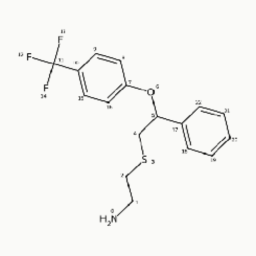 NCCSCC(Oc1ccc(C(F)(F)F)cc1)c1ccccc1